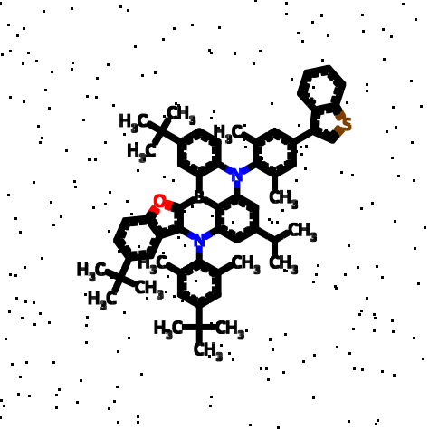 Cc1cc(-c2csc3ccccc23)cc(C)c1N1c2ccc(C(C)(C)C)cc2B2c3oc4ccc(C(C)(C)C)cc4c3N(c3c(C)cc(C(C)(C)C)cc3C)c3cc(C(C)C)cc1c32